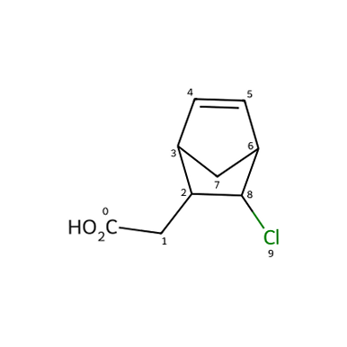 O=C(O)CC1C2C=CC(C2)C1Cl